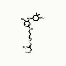 COC/C(N)=N/ON=CCCNc1ncc(C#N)c(NC2CCC(N=O)C(C)(C)C2)n1